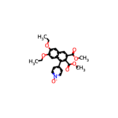 CCOc1cc2cc(C(=O)OC)c(C(=O)OC)c(-c3cc[n+]([O-])cc3)c2cc1OCC